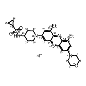 CCc1cc(N2CCOCC2)cc2[s+]c3cc(N4CCC(NS(=O)(=O)C5CC5)CC4)cc(CC)c3nc12.[I-]